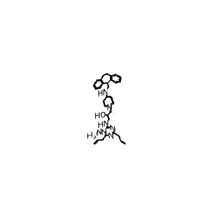 C=CCC1=NC(CC=C)N(N)C(NCC(O)CN2CCC(NCC3c4ccccc4CCc4ccccc43)CC2)=N1